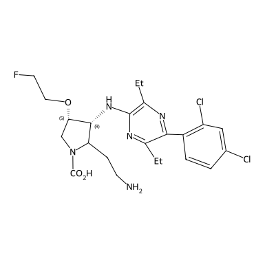 CCc1nc(-c2ccc(Cl)cc2Cl)c(CC)nc1N[C@@H]1C(CCN)N(C(=O)O)C[C@@H]1OCCF